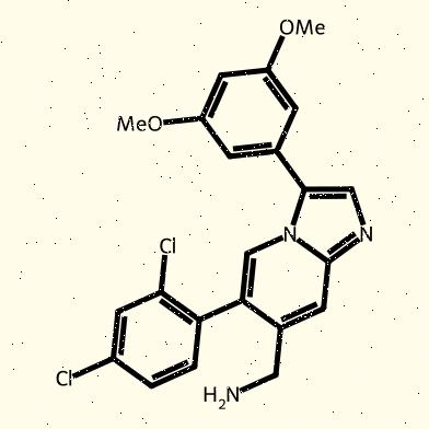 COc1cc(OC)cc(-c2cnc3cc(CN)c(-c4ccc(Cl)cc4Cl)cn23)c1